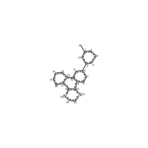 Cc1cccc(-c2ccc3c(c2)c2ccccc2c2nccnc32)c1